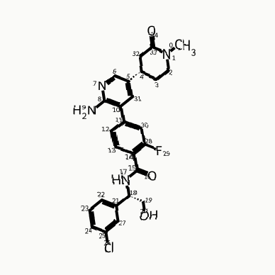 CN1CC[C@H](c2cnc(N)c(-c3ccc(C(=O)N[C@H](CO)c4cccc(Cl)c4)c(F)c3)c2)CC1=O